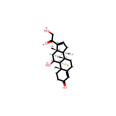 C[C@]12CCC(=O)C=C1CC[C@H]1[C@@H]3CC=C(C(=O)CO)[C@@]3(C)CC(O)[C@@]12F